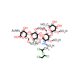 CC(=O)N[C@@H]1[C@@H](O)[C@H](O[C@@H]2O[C@H](C(=O)O)[C@@H](O[C@@H]3O[C@H](CO)[C@@H](O[C@H]4O[C@@H](C(=O)O)[C@H](O)[C@@H](O)[C@@H]4OS(=O)(=O)O)[C@H](OS(=O)(=O)O)[C@H]3NS(=O)(=O)O)[C@H](O)[C@H]2OS(=O)(=O)O)[C@H](COS(=O)(=O)O)O[C@H]1O.CC(Cl)Cl.ClCCCl